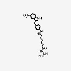 CCCCNNC(=O)CCCCCCNC(=O)c1ccc(Cc2c[nH]c3ccc([N+](=O)[O-])cc23)cc1